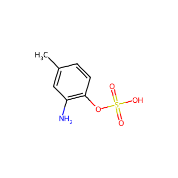 Cc1ccc(OS(=O)(=O)O)c(N)c1